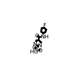 O=C(Nc1ccc(F)cc1)c1cnc(S(=O)(=O)O)nc1